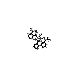 CC(C)(C)C(=NNC(=O)C(NC(=O)c1ccccc1)c1n[nH]c(=O)c2ccccc12)c1ccccc1